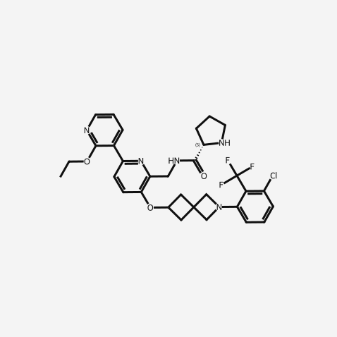 CCOc1ncccc1-c1ccc(OC2CC3(C2)CN(c2cccc(Cl)c2C(F)(F)F)C3)c(CNC(=O)[C@@H]2CCCN2)n1